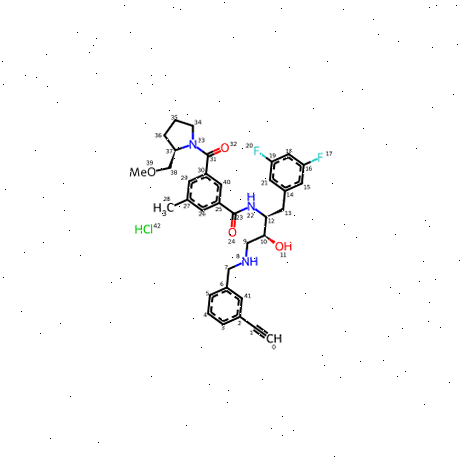 C#Cc1cccc(CNC[C@H](O)[C@H](Cc2cc(F)cc(F)c2)NC(=O)c2cc(C)cc(C(=O)N3CCC[C@@H]3COC)c2)c1.Cl